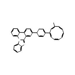 Cc1cccccccc(C2=CCC(c3ccc4c5ccccc5n5c6ccccc6nc5c4c3)C=C2)c1